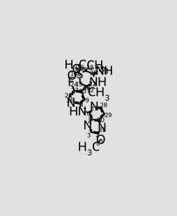 COc1cnc2c(Nc3cc([C@]4(C)CS(=O)(=O)C(C)(C)C(=N)N4)c(F)cn3)nccc2n1